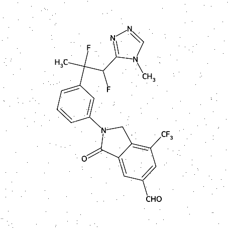 Cn1cnnc1C(F)C(C)(F)c1cccc(N2Cc3c(cc(C=O)cc3C(F)(F)F)C2=O)c1